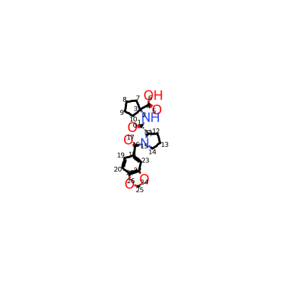 O=C(NC1(C(=O)O)CCCC1)[C@@H]1CCCN1C(=O)c1ccc2c(c1)OCO2